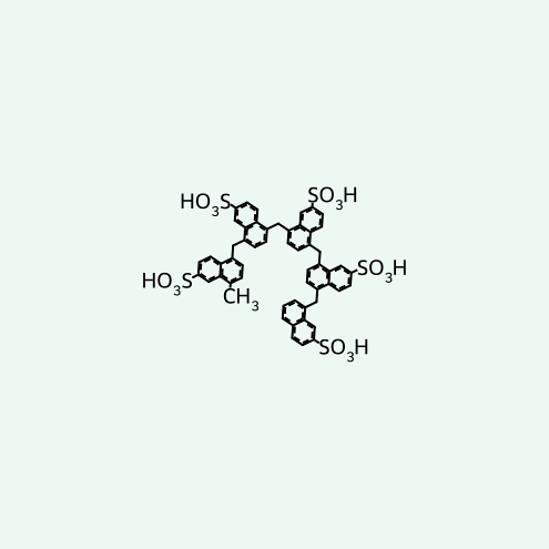 Cc1ccc(Cc2ccc(Cc3ccc(Cc4ccc(Cc5cccc6ccc(S(=O)(=O)O)cc56)c5ccc(S(=O)(=O)O)cc45)c4ccc(S(=O)(=O)O)cc34)c3ccc(S(=O)(=O)O)cc23)c2ccc(S(=O)(=O)O)cc12